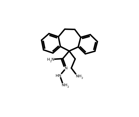 NCCC1(/C(N)=N/NN)c2ccccc2CCc2ccccc21